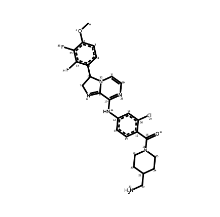 COc1ccc(C2CN=C3C(Nc4ccc(C(=O)N5CCC(CN)CC5)c(Cl)c4)=NC=CN32)c(F)c1F